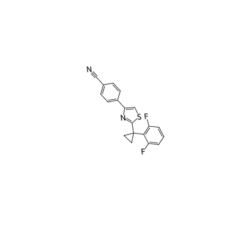 N#Cc1ccc(-c2csc(C3(c4c(F)cccc4F)CC3)n2)cc1